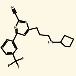 N#Cc1nc(CCCNC2CCCC2)cc(-c2cccc(C(F)(F)F)c2)n1